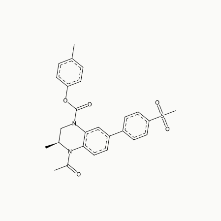 CC(=O)N1c2ccc(-c3ccc(S(C)(=O)=O)cc3)cc2N(C(=O)Oc2ccc(C)cc2)C[C@@H]1C